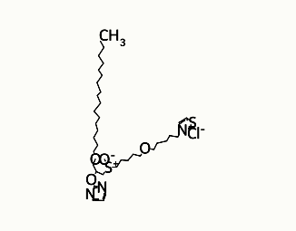 CCCCCCCCCCCCCCCCCCOCC(C[S+]([O-])CCCCCOCCCCC[n+]1ccsc1)Oc1ncccn1.[Cl-]